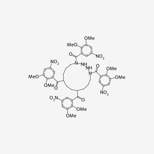 COc1cc([N+](=O)[O-])cc(C(=O)C2CCCN(C(=O)c3cc([N+](=O)[O-])cc(OC)c3OC)NNN(C(=O)c3cc([N+](=O)[O-])cc(OC)c3OC)CCCC(C(=O)c3cc([N+](=O)[O-])cc(OC)c3OC)CC2)c1OC